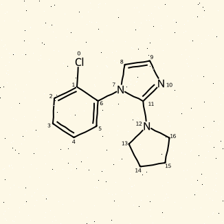 Clc1ccccc1-n1ccnc1N1CCCC1